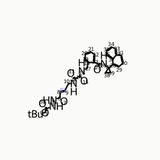 CC(C)(C)OC(=O)NNC(=O)/C=C/CNC(=O)C(=O)NCc1ccccc1C(=O)NC1(c2cccc3ccccc23)CC1